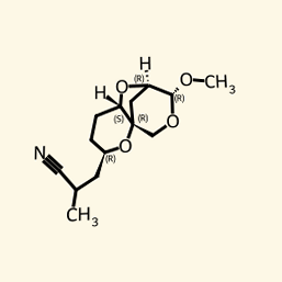 CO[C@@H]1OC[C@]23C[C@H]1O[C@H]2CC[C@H](CC(C)C#N)O3